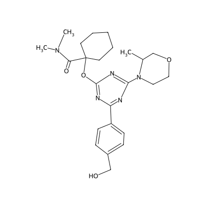 CC1COCCN1c1nc(OC2(C(=O)N(C)C)CCCCC2)nc(-c2ccc(CO)cc2)n1